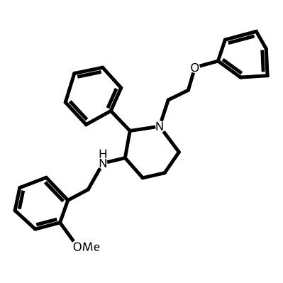 COc1ccccc1CNC1CCCN(CCOc2ccccc2)C1c1ccccc1